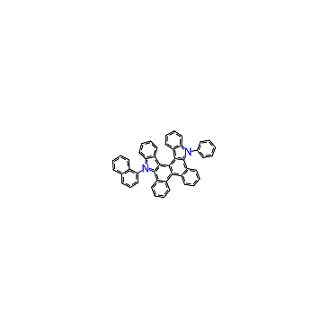 c1ccc(-n2c3ccccc3c3c4c(c5ccccc5c32)c2ccccc2c2c4c3ccccc3n2-c2cccc3ccccc23)cc1